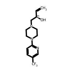 C=C[C@@H](O)CN1CCN(c2ccc(C(F)(F)F)cn2)CC1